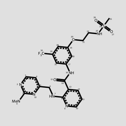 CNc1nccc(CNc2ncccc2C(=O)Nc2cc(OCCNS(C)(=O)=O)cc(C(F)(F)F)c2)n1